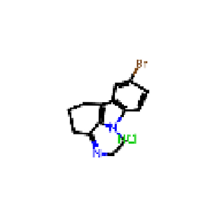 Brc1ccc2c(c1)c1c3n2CCN=C3CCC1.Cl